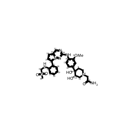 COc1cc([C@@]2(O)CCN(CC(N)=O)C[C@@H]2O)ccc1Nc1ncc2ccc(-c3ccccc3NCS(C)(=O)=O)n2n1